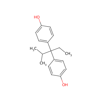 CCC(c1ccc(O)cc1)(c1ccc(O)cc1)C(C)C